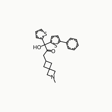 CN1CC2(CC(CC(=O)C(O)(c3cccs3)c3ccc(-c4ccccc4)s3)C2)C1